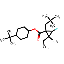 CCC1(C)C(F)C1(CC(C)(C)C)C(=O)OC1CCC(C(C)(C)C)CC1